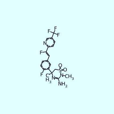 CN1C(N)=N[C@](C)(c2cc(/C=C(\F)c3ccc(C(F)(F)F)cn3)ccc2F)CS1(=O)=O